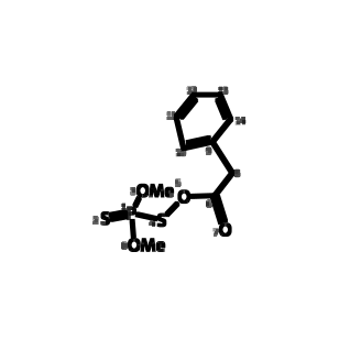 COP(=S)(OC)SOC(=O)Cc1ccccc1